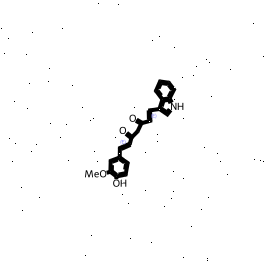 COc1cc(/C=C/C(=O)CC(=O)/C=C/c2c[nH]c3ccccc23)ccc1O